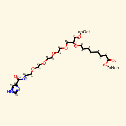 CCCCCCCCCOC(=O)CCCCCCCOC(COCCCCCCCC)COCCOCCOCCOCCNC(=O)c1c[nH]cn1